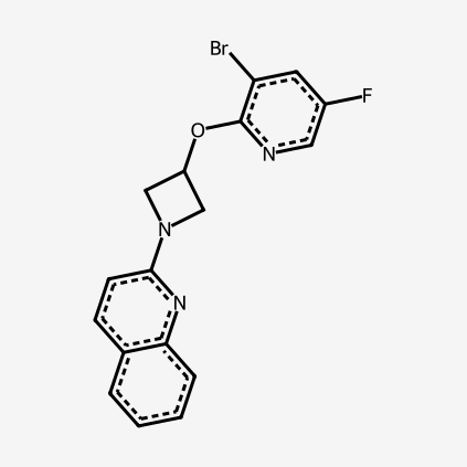 Fc1cnc(OC2CN(c3ccc4ccccc4n3)C2)c(Br)c1